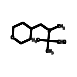 CN(CC1CCOCC1)C(C)(C)C=O